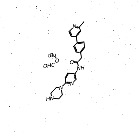 CC(C)(C)OC=O.Cc1cc(-c2ccc(CC(=O)Nc3ccc(N4CCNCC4)nc3)cc2)ccn1